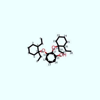 CCC1CCCCC1(CC)Oc1cccc(O)c1OC1(CC)CCCCC1CC